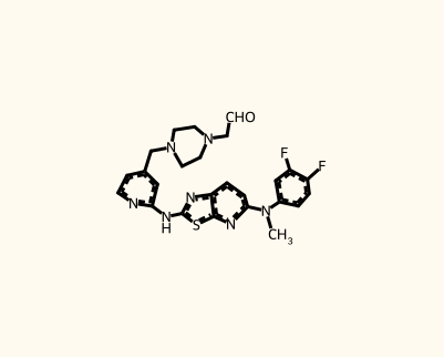 CN(c1ccc(F)c(F)c1)c1ccc2nc(Nc3cc(CN4CCN(CC=O)CC4)ccn3)sc2n1